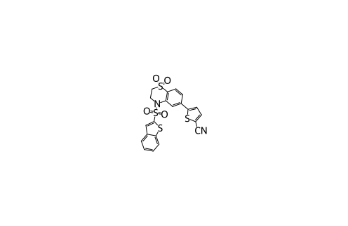 N#Cc1ccc(-c2ccc3c(c2)N(S(=O)(=O)c2cc4ccccc4s2)CCS3(=O)=O)s1